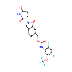 O=C1CCC(N2Cc3ccc(COC(=O)Nc4cc(OC(F)(F)F)c(F)cc4F)cc3C2=O)C(=O)N1